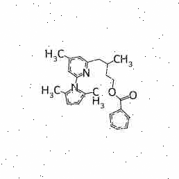 Cc1cc(CC(C)CCOC(=O)c2ccccc2)nc(-n2c(C)ccc2C)c1